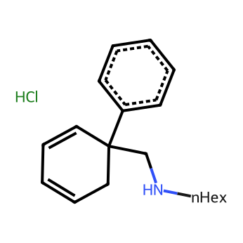 CCCCCCNCC1(c2ccccc2)C=CC=CC1.Cl